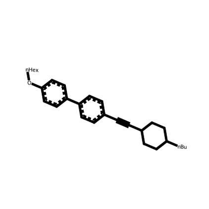 CCCCCCOc1ccc(-c2ccc(C#CC3CCC(CCCC)CC3)cc2)cc1